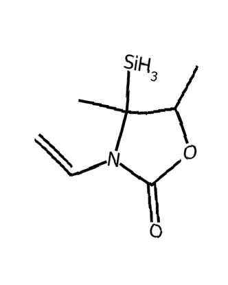 C=CN1C(=O)OC(C)C1(C)[SiH3]